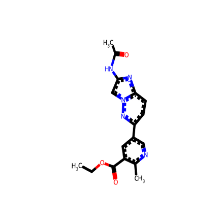 CCOC(=O)c1cc(-c2ccc3nc(NC(C)=O)cn3n2)cnc1C